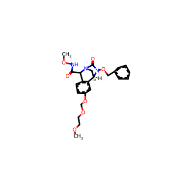 COCCOCOc1ccc2c(c1)[C@H]1CN(C(=O)N1OCc1ccccc1)C2C(=O)NOC